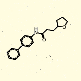 O=C(CCC1CCCO1)Nc1ccc(-c2ccccc2)cc1